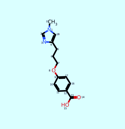 Cn1cnc(CCCOc2ccc(C(=O)O)cc2)c1